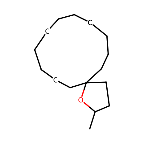 CC1CCC2(CCCCCCCCCCC2)O1